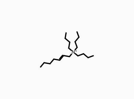 CCCCC=CC[N+](CCCC)(CCCC)CCCC